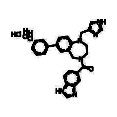 Cl.Cl.Cl.O=C(c1ccc2[nH]cnc2c1)N1CCN(Cc2c[nH]cn2)c2ccc(-c3ccccc3)cc2C1